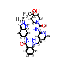 Cn1cc2ccc(NC(=O)c3ccccc3NCc3ccnc(NC(=O)N4CCC(O)(C(F)(F)F)CC4)c3)cc2n1